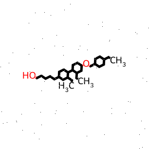 CCC1CCC(COC2CCC(C3CCC(CCCCCO)CC3CC)C(CC)C2)CC1